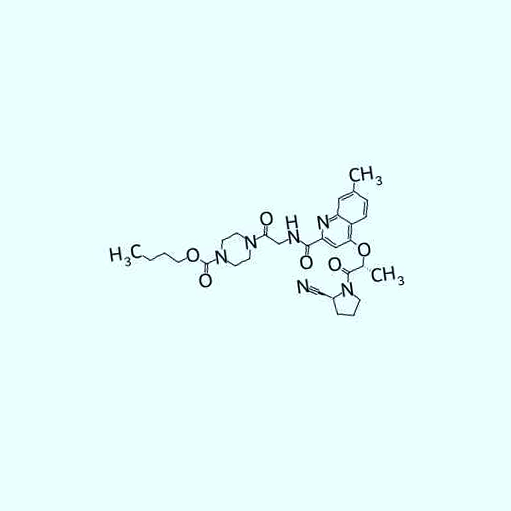 CCCCOC(=O)N1CCN(C(=O)CNC(=O)c2cc(O[C@H](C)C(=O)N3CCC[C@H]3C#N)c3ccc(C)cc3n2)CC1